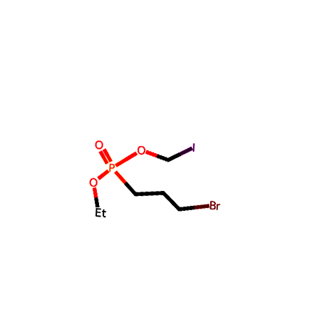 CCOP(=O)(CCCBr)OCI